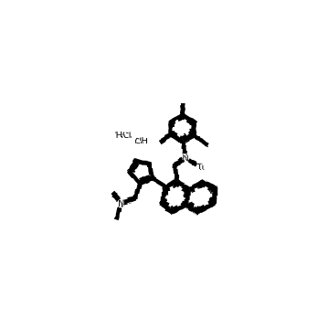 Cc1cc(C)c([N]([Ti])Cc2c(C3=C(CN(C)C)C=CC3)ccc3ccccc23)c(C)c1.Cl.Cl